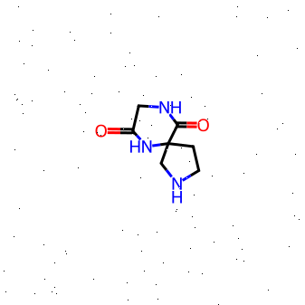 O=C1CNC(=O)C2(CCNC2)N1